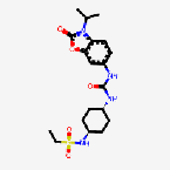 CCS(=O)(=O)N[C@H]1CC[C@H](NC(=O)Nc2ccc3c(c2)oc(=O)n3C(C)C)CC1